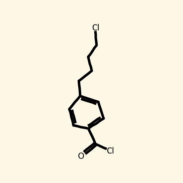 O=C(Cl)c1ccc(CCCCCl)cc1